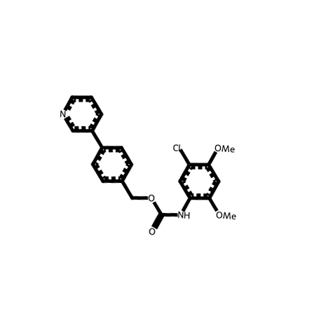 COc1cc(OC)c(NC(=O)OCc2ccc(-c3cccnc3)cc2)cc1Cl